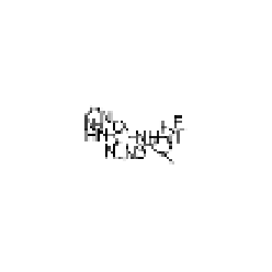 Cc1cc(C(=O)NC(C)c2nccnc2C(=O)Nc2ncccn2)cc(C(F)(F)F)c1